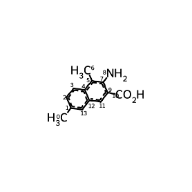 Cc1ccc2c(C)c(N)c(C(=O)O)cc2c1